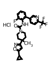 CC1(c2cc(C3CC3)on2)CCN(C(=O)Nc2c(F)cccc2-c2ccc(C(F)(F)F)nc2)CC1.Cl